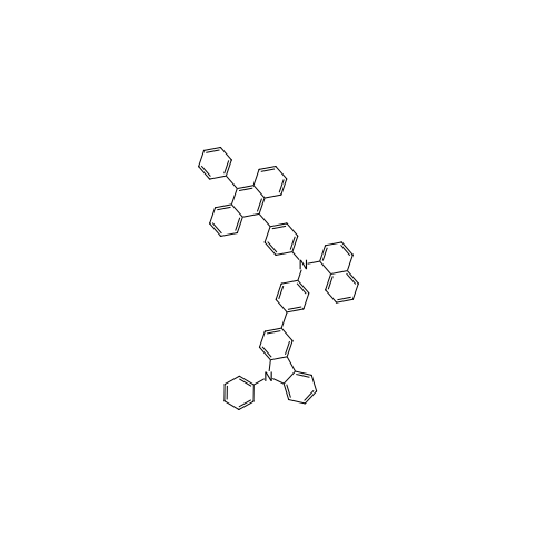 c1ccc(-c2c3ccccc3c(-c3ccc(N(c4ccc(-c5ccc6c(c5)c5ccccc5n6-c5ccccc5)cc4)c4cccc5ccccc45)cc3)c3ccccc23)cc1